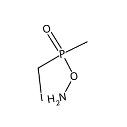 CP(=O)(CI)ON